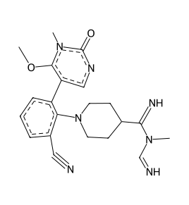 COc1c(-c2cccc(C#N)c2N2CCC(C(=N)N(C)C=N)CC2)cnc(=O)n1C